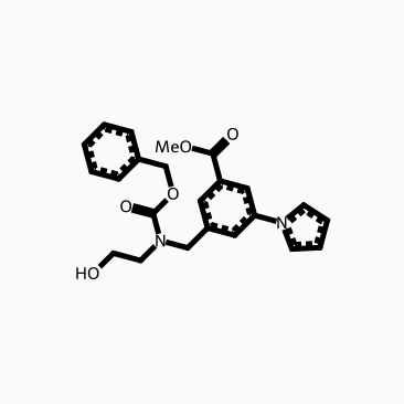 COC(=O)c1cc(CN(CCO)C(=O)OCc2ccccc2)cc(-n2cccc2)c1